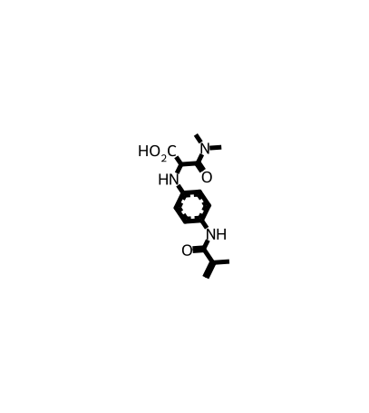 C=C(C)C(=O)Nc1ccc(NC(C(=O)O)C(=O)N(C)C)cc1